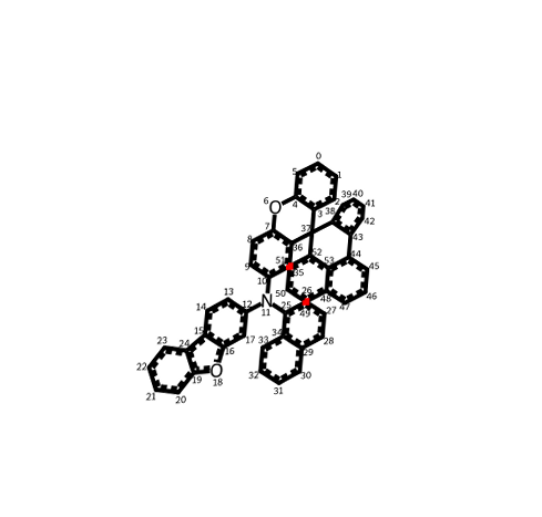 c1ccc2c(c1)Oc1ccc(N(c3ccc4c(c3)oc3ccccc34)c3cccc4ccccc34)cc1C21c2ccccc2-c2cccc3cccc1c23